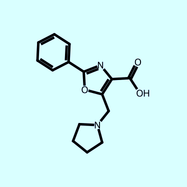 O=C(O)c1nc(-c2ccccc2)oc1CN1CCCC1